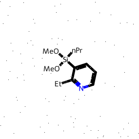 CCC[Si](OC)(OC)c1cccnc1CC